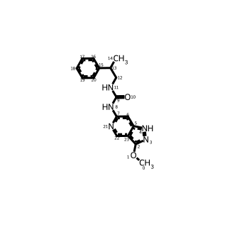 COc1n[nH]c2cc(NC(=O)NCC(C)c3ccccc3)ncc12